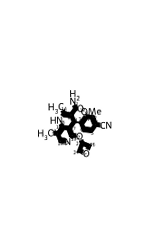 COc1cc(C#N)ccc1[C@@H]1C(C(N)=O)=C(C)Nc2c(C)cnc(OC3COC3)c21